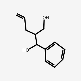 C=CCC(CO)C(O)c1ccccc1